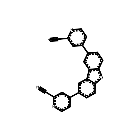 N#Cc1cc(-c2ccc3sc4ccc(-c5ccnc(C#N)c5)cc4c3c2)ccn1